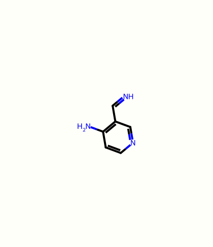 N=Cc1cnccc1N